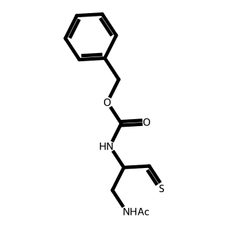 CC(=O)NCC(C=S)NC(=O)OCc1ccccc1